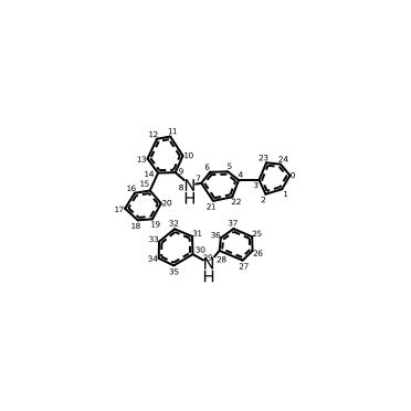 c1ccc(-c2ccc(Nc3ccccc3-c3ccccc3)cc2)cc1.c1ccc(Nc2ccccc2)cc1